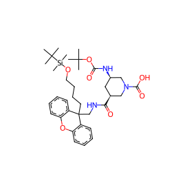 CC(C)(C)OC(=O)N[C@@H]1C[C@H](C(=O)NCC2(CCCCO[Si](C)(C)C(C)(C)C)c3ccccc3Oc3ccccc32)CN(C(=O)O)C1